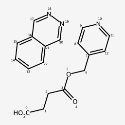 O=C(O)CCC(=O)OCc1ccncc1.c1ccc2cnncc2c1